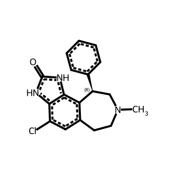 CN1CCc2cc(Cl)c3[nH]c(=O)[nH]c3c2[C@@H](c2ccccc2)C1